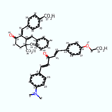 CN(C)c1ccc(C=CC(=O)C=Cc2ccc(OCC(=O)O)cc2)cc1.COC1(C(=O)O)CCC(=O)C(=Cc2ccc(C(=O)O)cc2)C1=Cc1ccccc1